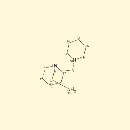 NC1C2CCN(CC2)C1CN1CCCCC1